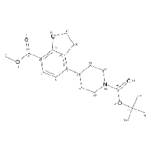 COC(=O)c1ccc(C2CCN(C(=O)OC(C)(C)C)CC2)c2c1OCC2